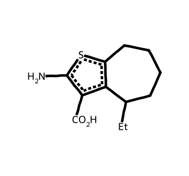 CCC1CCCCc2sc(N)c(C(=O)O)c21